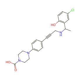 CC(NCC#Cc1ccc(N2CCN(C(=O)O)CC2)cc1)c1cc(Cl)ccc1O